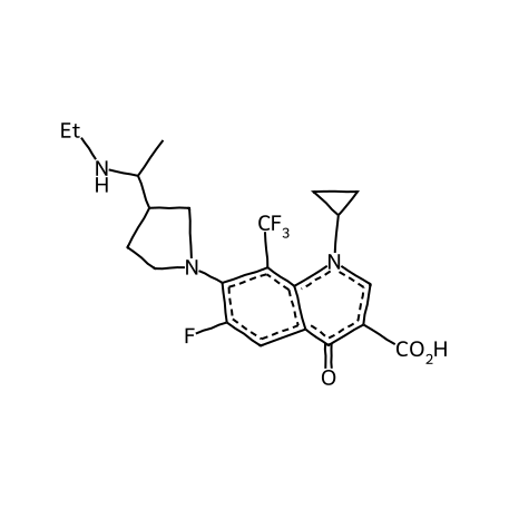 CCNC(C)C1CCN(c2c(F)cc3c(=O)c(C(=O)O)cn(C4CC4)c3c2C(F)(F)F)C1